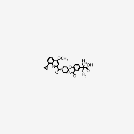 COc1cc(C(=O)N2CCC3(CC2)NC(=O)c2cc(C(C)(C)C(=O)O)ccc2O3)nc2c(C3CC3)cccc12